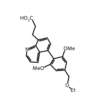 CCOCc1cc(OC)c(-c2ccc(CCC(=O)O)c3ncccc23)c(OC)c1